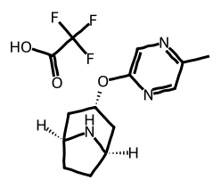 Cc1cnc(O[C@@H]2C[C@H]3CC[C@@H](C2)N3)cn1.O=C(O)C(F)(F)F